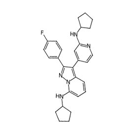 Fc1ccc(-c2nn3c(NC4CCCC4)cccc3c2-c2ccnc(NC3CCCC3)c2)cc1